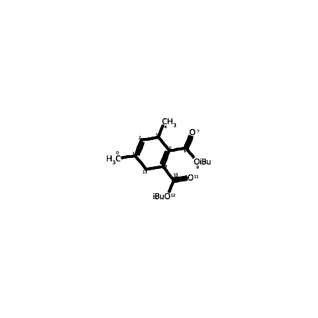 CC1=CC(C)C(C(=O)OCC(C)C)=C(C(=O)OCC(C)C)C1